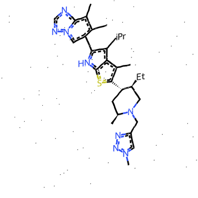 CC[C@H]1CN(Cc2cn(C)nn2)[C@@H](C)C[C@@H]1c1sc2[nH]c(-c3cn4ncnc4c(C)c3C)c(C(C)C)c2c1C